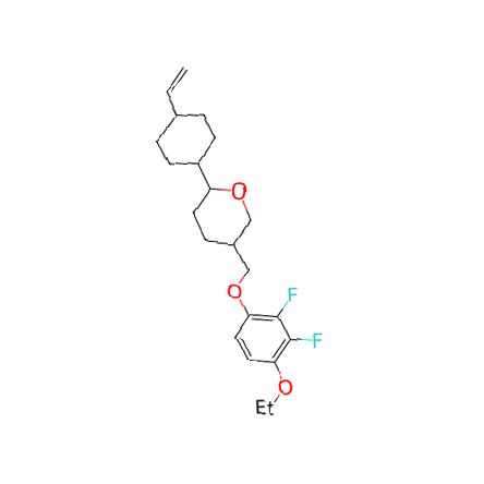 C=CC1CCC(C2CCC(COc3ccc(OCC)c(F)c3F)CO2)CC1